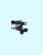 O=C(O)CC(NC(=O)c1cc(Cl)ccc1NC(=O)c1ccc(-c2csnn2)cc1)c1ccc(-c2ccccc2Oc2ccccc2)cc1